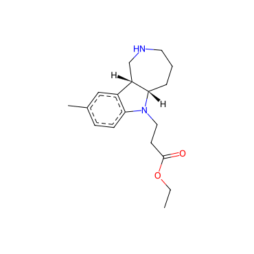 CCOC(=O)CCN1c2ccc(C)cc2[C@@H]2CNCCC[C@@H]21